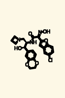 O=C(N[C@H](CN1CCC1)[C@H](O)c1ccc2c(c1)OCCO2)/C(=N/O)c1cc2cc(Cl)ccc2o1